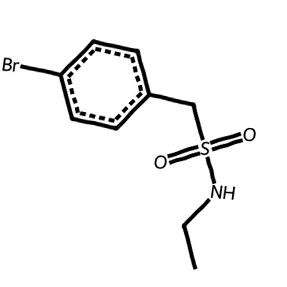 CCNS(=O)(=O)Cc1ccc(Br)cc1